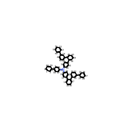 c1ccc(-c2ccc(N(c3ccc(-c4ccccc4-c4cccc(-c5ccccc5)c4)cc3)c3ccc(-c4ccccc4-c4cccc(-c5ccccc5)c4)cc3)cc2)cc1